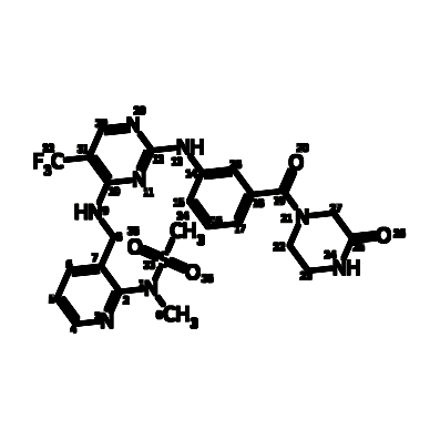 CN(c1ncccc1CNc1nc(Nc2cccc(C(=O)N3CCNC(=O)C3)c2)ncc1C(F)(F)F)S(C)(=O)=O